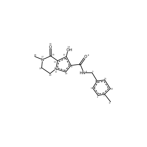 Cc1ccc(CNC(=O)c2cn3c(c2O)C(=O)N(C)CC3)cc1